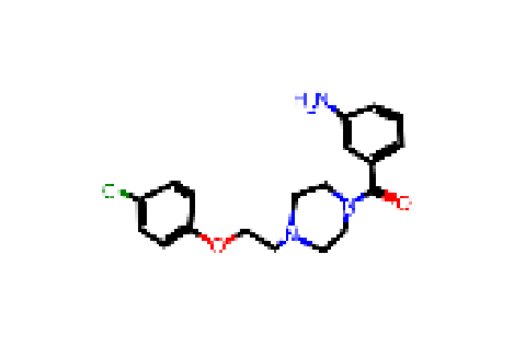 Nc1cccc(C(=O)N2CCN(CCOc3ccc(Cl)cc3)CC2)c1